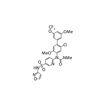 CNC(=O)N(c1ccc(S(=O)(=O)Nc2ccon2)cn1)c1cc(Cl)c(-c2cc(OC)cc(OC(F)(F)F)c2)cc1OC